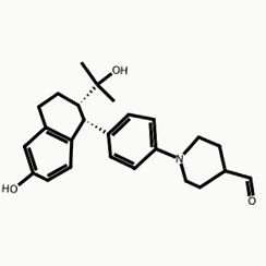 CC(C)(O)[C@H]1CCc2cc(O)ccc2[C@H]1c1ccc(N2CCC(C=O)CC2)cc1